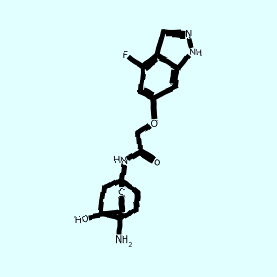 NC12CCC(NC(=O)COc3cc(F)c4cn[nH]c4c3)(CC1)CC2O